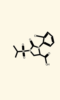 CC(C)S(=O)(=O)N1CC(C(=O)O)N(c2ccccc2Cl)C1=O